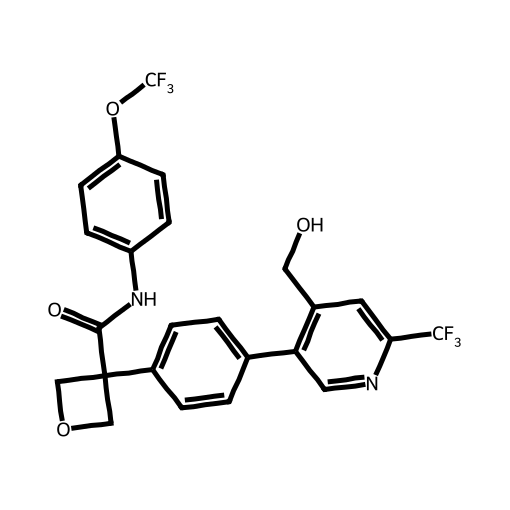 O=C(Nc1ccc(OC(F)(F)F)cc1)C1(c2ccc(-c3cnc(C(F)(F)F)cc3CO)cc2)COC1